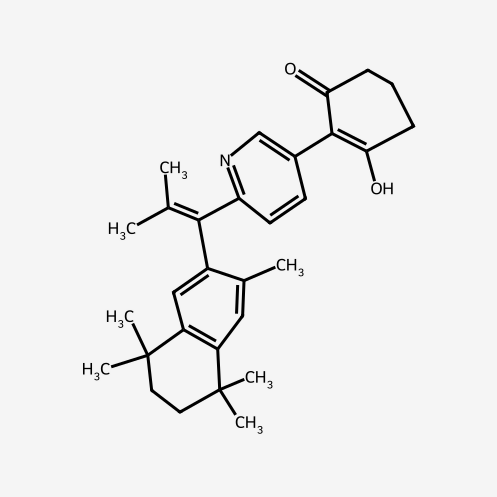 CC(C)=C(c1ccc(C2=C(O)CCCC2=O)cn1)c1cc2c(cc1C)C(C)(C)CCC2(C)C